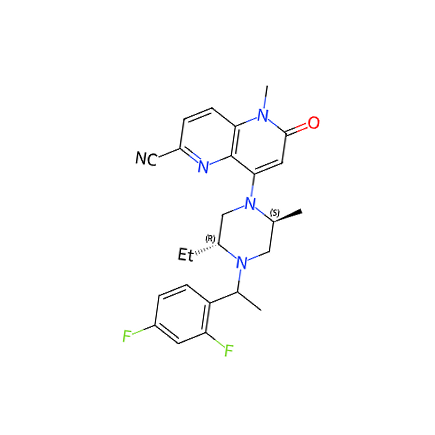 CC[C@@H]1CN(c2cc(=O)n(C)c3ccc(C#N)nc23)[C@@H](C)CN1C(C)c1ccc(F)cc1F